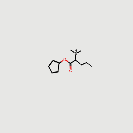 CCCC(C(=O)OC1CCCC1)[SiH](C)C